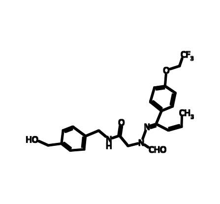 C/C=C\C(=N/N(C=O)CC(=O)NCc1ccc(CO)cc1)c1ccc(OCC(F)(F)F)cc1